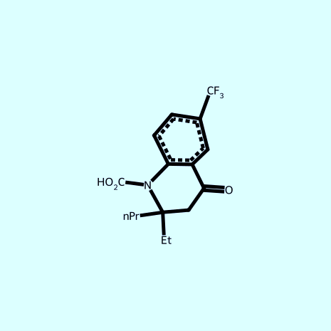 CCCC1(CC)CC(=O)c2cc(C(F)(F)F)ccc2N1C(=O)O